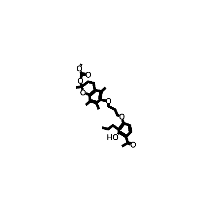 CCCc1c(OCCCOc2c(C)c(C)c3c(c2C)CCC(C)(OC(=O)OC)O3)ccc(C(C)=O)c1O